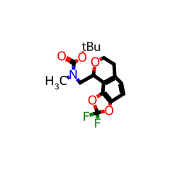 CN(CC1OCCc2ccc3c(c21)OC(F)(F)O3)C(=O)OC(C)(C)C